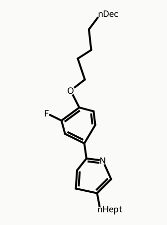 CCCCCCCCCCCCCCOc1ccc(-c2ccc(CCCCCCC)cn2)cc1F